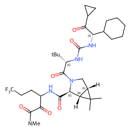 CNC(=O)C(=O)C(CCC(F)(F)F)NC(=O)[C@@H]1[C@@H]2[C@H](CN1C(=O)[C@@H](NC(=O)N[C@H](C(=O)C1CC1)C1CCCCC1)C(C)(C)C)C2(C)C